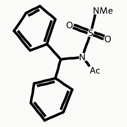 CNS(=O)(=O)N(C(C)=O)C(c1ccccc1)c1ccccc1